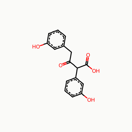 O=C(O)C(C(=O)Cc1cccc(O)c1)c1cccc(O)c1